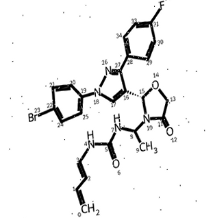 C=C/C=C/NC(=O)NC(C)N1C(=O)CO[C@H]1c1cn(-c2ccc(Br)cc2)nc1-c1ccc(F)cc1